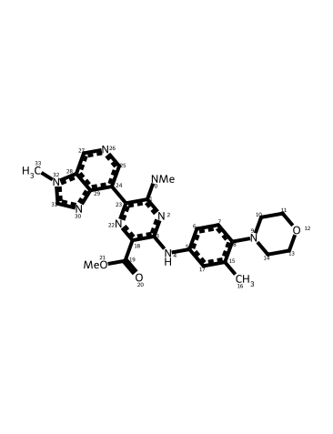 CNc1nc(Nc2ccc(N3CCOCC3)c(C)c2)c(C(=O)OC)nc1-c1cncc2c1ncn2C